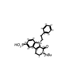 CCCCN1CCc2c(n(CCc3ccccc3)c3ccc(S(=O)(=O)O)cc23)C1=O